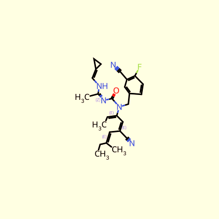 C\C=C(/C=C(C#N)\C=C(/C)CC)N(Cc1ccc(F)c(C#N)c1)C(=O)/N=C(/C)NC=C1CC1